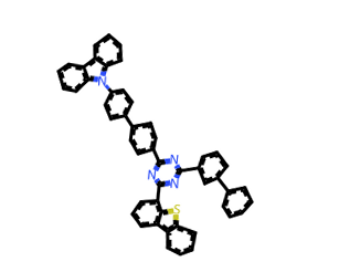 c1ccc(-c2cccc(-c3nc(-c4ccc(-c5ccc(-n6c7ccccc7c7ccccc76)cc5)cc4)nc(-c4cccc5c4sc4ccccc45)n3)c2)cc1